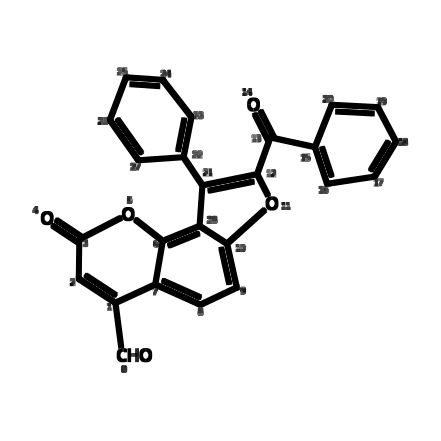 O=Cc1cc(=O)oc2c1ccc1oc(C(=O)c3ccccc3)c(-c3ccccc3)c12